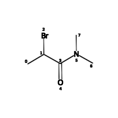 CC(Br)C(=O)N(C)C